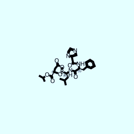 CC(C)C[C@H](NC(=O)[C@H](Cc1ccccc1)NC(=O)c1cnccn1)B1OC(=O)C[C@H](C(=O)OC(C)C)O1